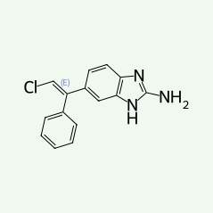 Nc1nc2ccc(/C(=C/Cl)c3ccccc3)cc2[nH]1